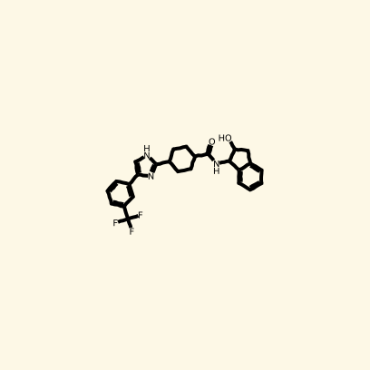 O=C(NC1c2ccccc2CC1O)C1CCC(c2nc(-c3cccc(C(F)(F)F)c3)c[nH]2)CC1